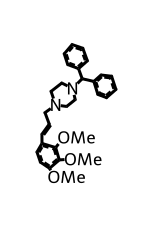 COc1ccc(C=CCN2CCN(C(c3ccccc3)c3ccccc3)CC2)c(OC)c1OC